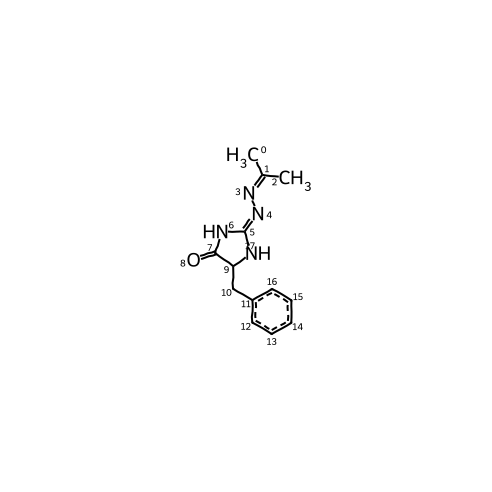 CC(C)=N/N=C1\NC(=O)C(Cc2ccccc2)N1